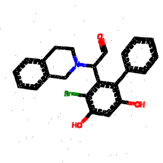 O=CC(c1c(Br)c(O)cc(O)c1-c1ccccc1)N1CCc2ccccc2C1